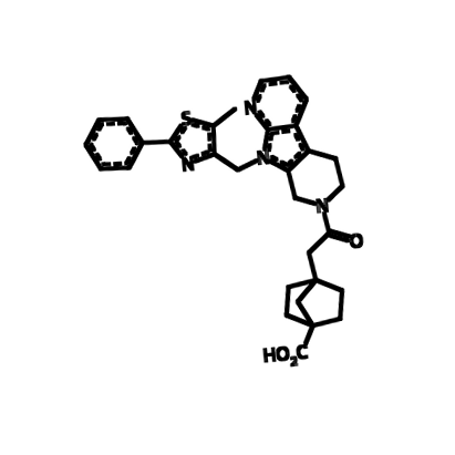 Cc1sc(-c2ccccc2)nc1Cn1c2c(c3cccnc31)CCN(C(=O)CC13CCC(C(=O)O)(CC1)C3)C2